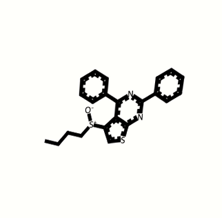 CCCC[S+]([O-])c1csc2nc(-c3ccccc3)nc(-c3ccccc3)c12